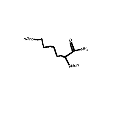 CCCCCCCCCCCCCCC(CCCCCCCCC)C(N)=O